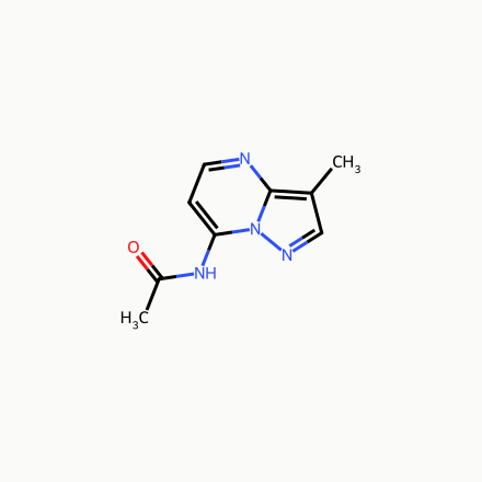 CC(=O)Nc1ccnc2c(C)cnn12